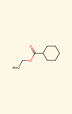 COCOC(=O)C1CCCCC1